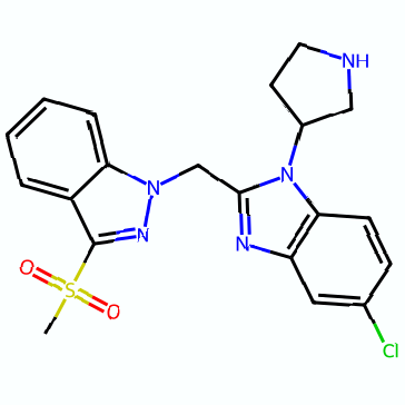 CS(=O)(=O)c1nn(Cc2nc3cc(Cl)ccc3n2C2CCNC2)c2ccccc12